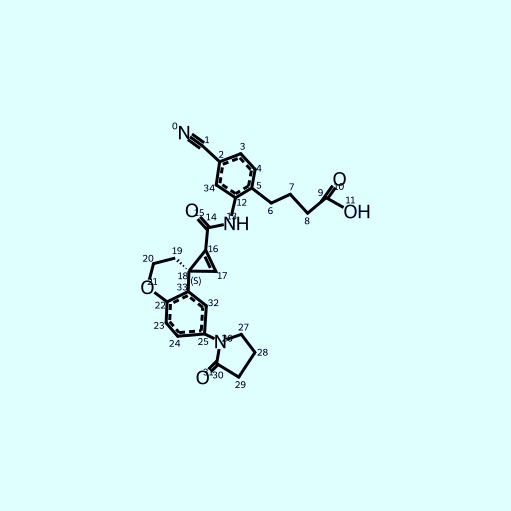 N#Cc1ccc(CCCC(=O)O)c(NC(=O)C2=C[C@]23CCOc2ccc(N4CCCC4=O)cc23)c1